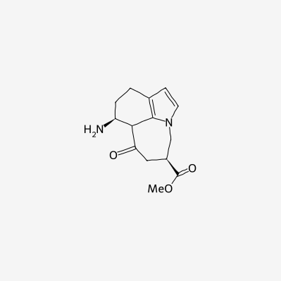 COC(=O)[C@H]1CC(=O)C2c3c(ccn3C1)CC[C@@H]2N